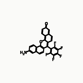 Nc1ccc2c(ccc3c(-c4c(F)c(F)c(F)c(F)c4F)c4ccc5cc(=O)ccc5c4oc32)c1